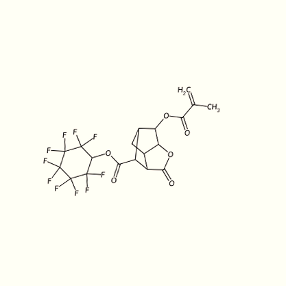 C=C(C)C(=O)OC1C2CC3C1OC(=O)C3C2C(=O)OC1C(F)(F)C(F)(F)C(F)(F)C(F)(F)C1(F)F